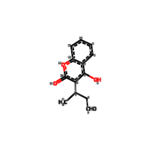 CC(CC=O)c1c(O)c2ccccc2oc1=O